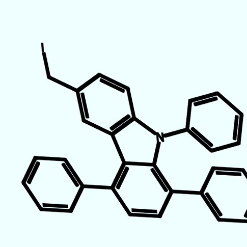 ICc1ccc2c(c1)c1c(-c3ccccc3)ccc(-c3ccccc3)c1n2-c1ccccc1